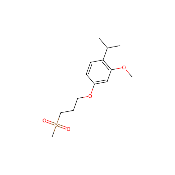 COc1cc(OCCCS(C)(=O)=O)ccc1C(C)C